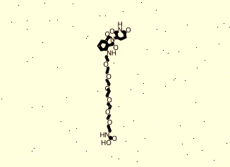 O=C(O)NCCOCCOCCOCCOCCOCCOCCNc1cccc2c1C(=O)N(C1CCC(=O)NC1=O)C2=O